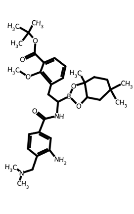 COc1c(CC(NC(=O)c2ccc(CN(C)C)c(N)c2)B2OC3CC(C)(C)CCC3(C)O2)cccc1C(=O)OC(C)(C)C